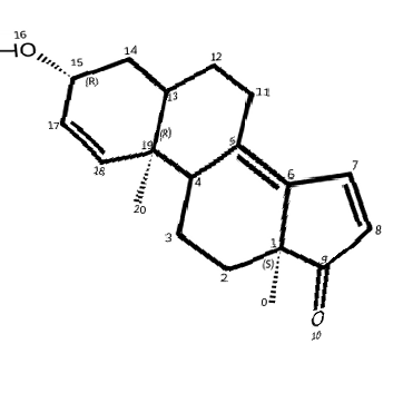 C[C@]12CCC3C(=C1C=CC2=O)CCC1C[C@@H](O)C=C[C@@]13C